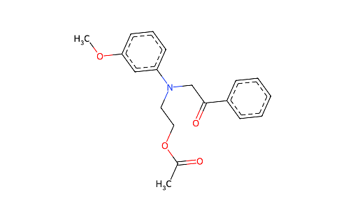 COc1cccc(N(CCOC(C)=O)CC(=O)c2ccccc2)c1